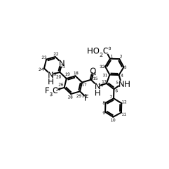 O=C(O)c1ccc2[nH]c(-c3ccccc3)c(NC(=O)c3cc(C4=NC=CCN4)c(C(F)(F)F)cc3F)c2c1